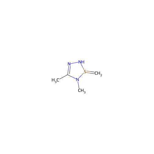 C=S1NN=C(C)N1C